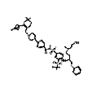 CN(CCO)CCC(CSc1ccccc1)Nc1ccc(S(=O)(=O)NC(=O)c2ccc(N3CCN(CC4=C(C56CC(C)(C5)C6)CC(C)(C)CC4)CC3)cc2)cc1S(=O)(=O)C(F)(F)F